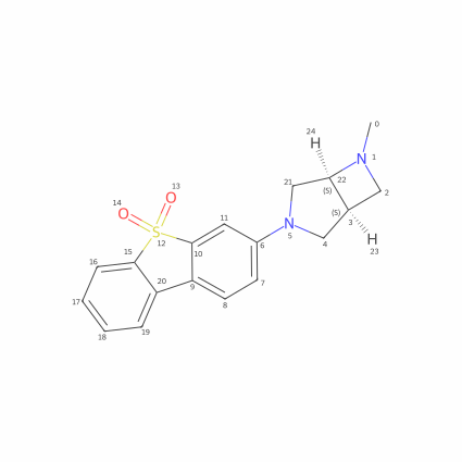 CN1C[C@H]2CN(c3ccc4c(c3)S(=O)(=O)c3ccccc3-4)C[C@H]21